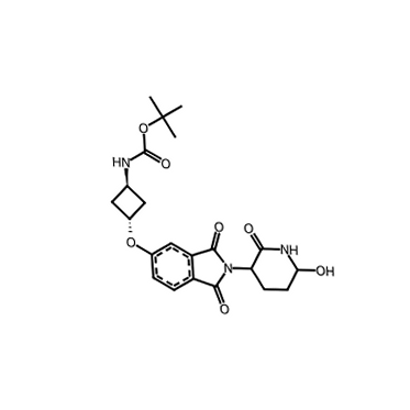 CC(C)(C)OC(=O)N[C@H]1C[C@H](Oc2ccc3c(c2)C(=O)N(C2CCC(O)NC2=O)C3=O)C1